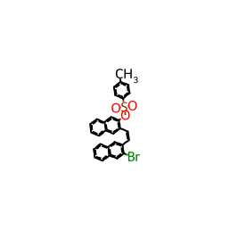 Cc1ccc(S(=O)(=O)Oc2cc3ccccc3cc2/C=C\c2cc3ccccc3cc2Br)cc1